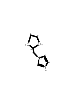 c1cn(CC2OCCO2)cn1